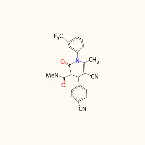 CNC(=O)C1C(=O)N(c2cccc(C(F)(F)F)c2)C(C)=C(C#N)C1c1ccc(C#N)cc1